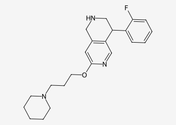 Fc1ccccc1C1CNCc2cc(OCCCN3CCCCC3)ncc21